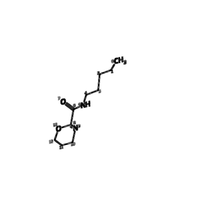 CCCCCNC(=O)C1=NCCCO1